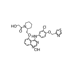 Cl.O=C(CO)N1CCCC[C@H]1COc1cccc2ncnc(Nc3ccc(OCc4cscn4)c(Cl)c3)c12